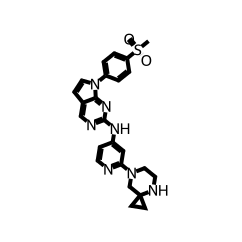 CS(=O)(=O)c1ccc(-n2ccc3cnc(Nc4ccnc(N5CCNC6(CC6)C5)c4)nc32)cc1